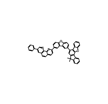 CC1(C)c2ccccc2-c2c1cc(-c1ccc3oc4ccc(-c5ccc6ccc7cc(-c8ccccc8)cnc7c6n5)cc4c3c1)c1c2oc2ccccc21